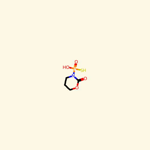 O=C1OCCCN1P(=O)(O)S